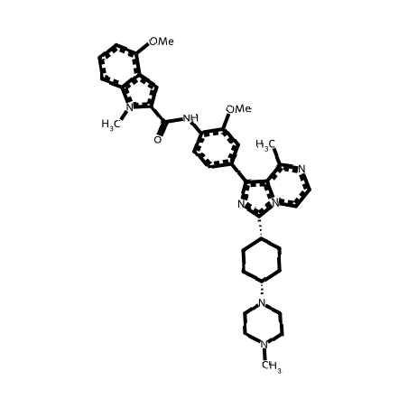 COc1cc(-c2nc([C@H]3CC[C@@H](N4CCN(C)CC4)CC3)n3ccnc(C)c23)ccc1NC(=O)c1cc2c(OC)cccc2n1C